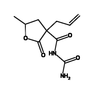 C=CCC1(C(=O)NC(N)=O)CC(C)OC1=O